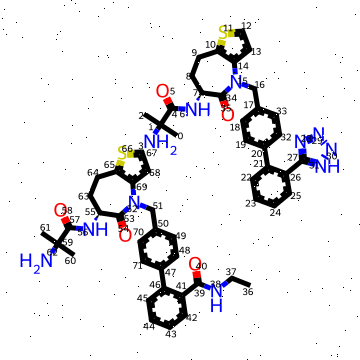 CC(C)(N)C(=O)N[C@@H]1CCc2sccc2N(Cc2ccc(-c3ccccc3-c3nnn[nH]3)cc2)C1=O.CCNC(=O)c1ccccc1-c1ccc(CN2C(=O)[C@H](NC(=O)C(C)(C)N)CCc3sccc32)cc1